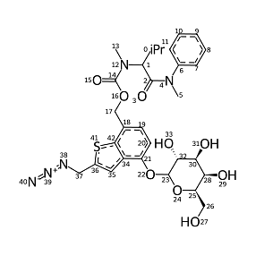 CC(C)C(C(=O)N(C)c1ccccc1)N(C)C(=O)OCc1ccc(OC2O[C@H](CO)[C@H](O)[C@H](O)[C@H]2O)c2cc(CN=[N+]=[N-])sc12